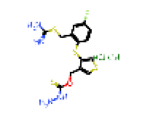 Cl.Cl.N=C(N)SCc1cc(F)ccc1Sc1cscc1COC(=S)NN